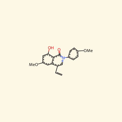 C=Cc1cn(-c2ccc(OC)cc2)c(=O)c2c(O)cc(OC)cc12